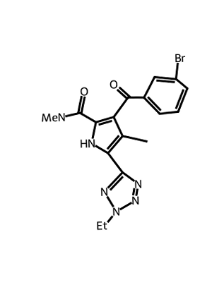 [CH2]Cn1nnc(-c2[nH]c(C(=O)NC)c(C(=O)c3cccc(Br)c3)c2C)n1